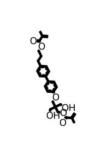 C=C(C)C(=O)OCCCc1ccc(-c2ccc(OCC(CO)(CO)COC(=O)C(=C)C)cc2)cc1